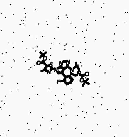 Cc1nc(-n2cc(-c3ccccc3F)c3c(N4CCN(C(=O)OC(C)(C)C)C[C@@H]4C)ncnc32)sc1C(=O)OC(C)(C)C